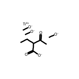 CCC(C(C)=O)C(=O)[O-].C[O-].C[O-].C[O-].[Ti+4]